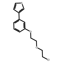 ClCCOCCOc1cccc(-c2ccsc2)c1